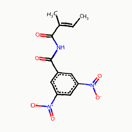 CC=C(C)C(=O)NC(=O)c1cc([N+](=O)[O-])cc([N+](=O)[O-])c1